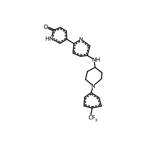 O=c1ccc(-c2ccc(NC3CCN(c4ccc(C(F)(F)F)cc4)CC3)cn2)c[nH]1